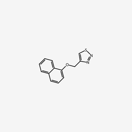 c1ccc2c(OCc3csnn3)cccc2c1